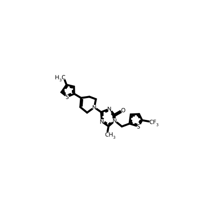 Cc1csc(C2=CCN(c3nc(C)n(Cc4ccc(C(F)(F)F)s4)c(=O)n3)CC2)c1